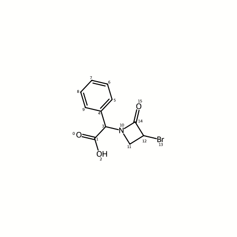 O=C(O)C(c1ccccc1)N1CC(Br)C1=O